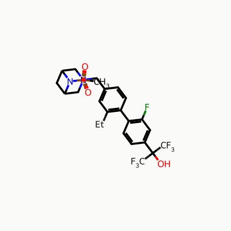 CCc1cc(CN2CC3CC(C2)N3S(C)(=O)=O)ccc1-c1ccc(C(O)(C(F)(F)F)C(F)(F)F)cc1F